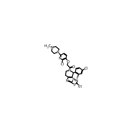 CCc1nn2c3c(nc2s1)CCN(C(=O)COc1ccc(N2CCN(C)CC2)nc1Cl)C3c1ccc(Cl)cc1F